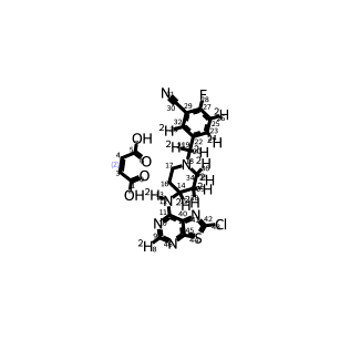 O=C(O)/C=C\C(=O)O.[2H]c1nc(N([2H])C2([2H])CCN(C([2H])([2H])c3c([2H])c([2H])c(F)c(C#N)c3[2H])C([2H])([2H])C2([2H])[2H])c2nc(Cl)sc2n1